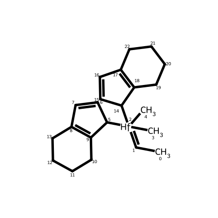 C[CH]=[Hf]([CH3])([CH3])([CH]1C=CC2=C1CCCC2)[CH]1C=CC2=C1CCCC2